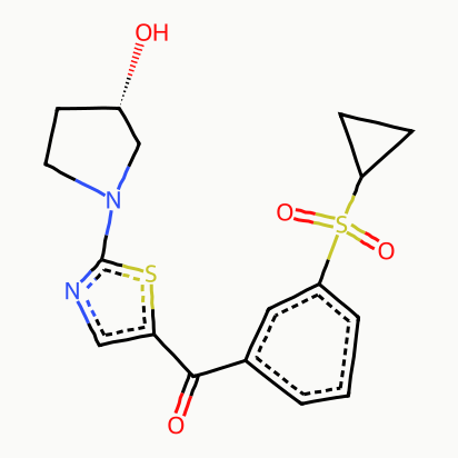 O=C(c1cccc(S(=O)(=O)C2CC2)c1)c1cnc(N2CC[C@H](O)C2)s1